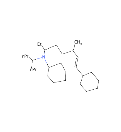 CCCC(CCC)N(C(CC)CCC(C)C=CC1CCCCC1)C1CCCCC1